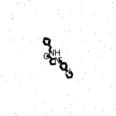 O=C(NCCc1ccccc1)C1CCCN(Sc2ccc(N3CCCCC3)cc2)C1